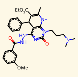 CCOC(=O)C1=C(C)Nc2c(c(NNC(=O)c3cccc(OC)c3)nc(=O)n2CCCN(C)C)C1c1ccccc1